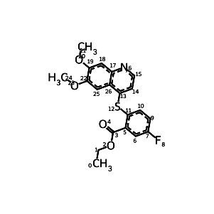 CCOC(=O)c1cc(F)ccc1Sc1ccnc2cc(OC)c(OC)cc12